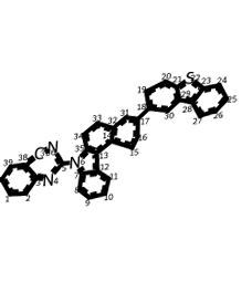 c1ccc2nc(-n3c4ccccc4c4c5ccc(-c6ccc7sc8ccccc8c7c6)cc5ccc43)ncc2c1